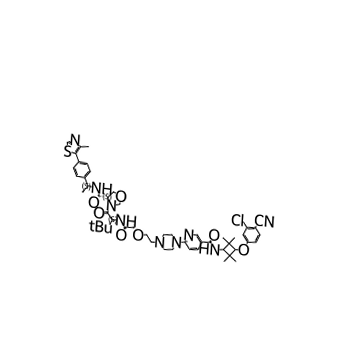 Cc1ncsc1-c1ccc([C@H](C)NC(=O)[C@@H]2COCN2C(=O)[C@@H](NC(=O)COCCN2CCN(c3ccc(C(=O)NC4C(C)(C)C(Oc5ccc(C#N)c(Cl)c5)C4(C)C)cn3)CC2)C(C)(C)C)cc1